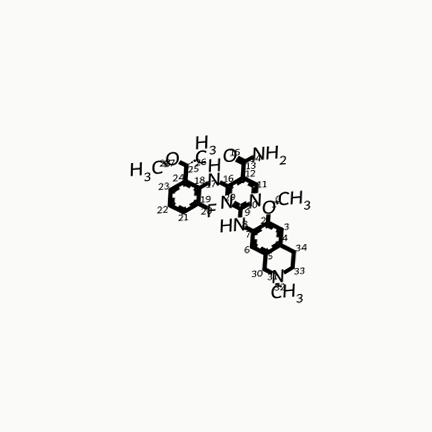 COc1cc2c(cc1Nc1ncc(C(N)=O)c(Nc3c(F)cccc3[C@@H](C)OC)n1)CN(C)CC2